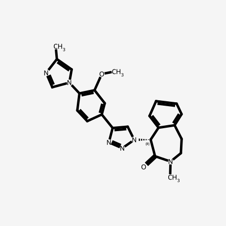 COc1cc(-c2cn([C@H]3C(=O)N(C)CCc4ccccc43)nn2)ccc1-n1cnc(C)c1